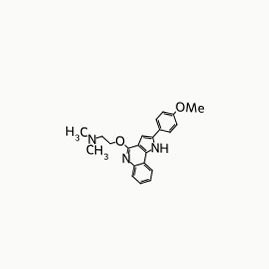 COc1ccc(-c2cc3c(OCCN(C)C)nc4ccccc4c3[nH]2)cc1